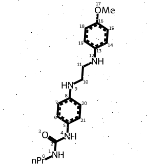 CCCNC(=O)Nc1ccc(NCCNc2ccc(OC)cc2)cc1